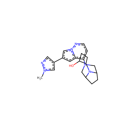 Cn1cc(-c2cc3c(N4CC5CCC(C4)N5C4CCC4O)ccnn3c2)cn1